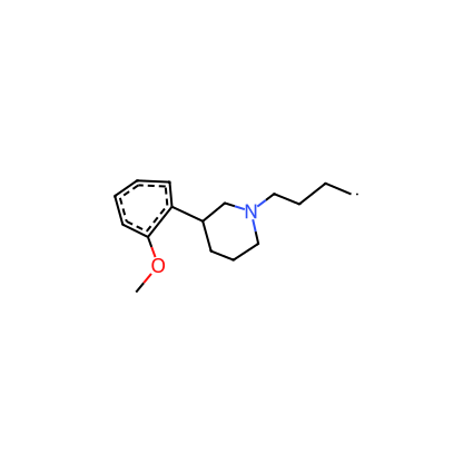 [CH2]CCCN1CCCC(c2ccccc2OC)C1